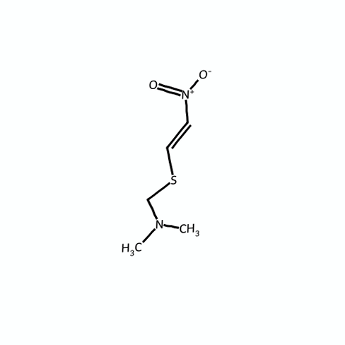 CN(C)CSC=C[N+](=O)[O-]